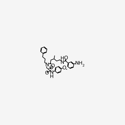 COc1ccc(NS(=O)(=O)CN(CCCc2ccccc2)C(=O)CC(C)CCNC(=O)c2cccc(N)c2)cc1